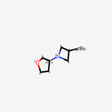 CC(C)(C)C1CN([C@H]2CCOC2)C1